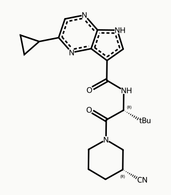 CC(C)(C)[C@@H](NC(=O)c1c[nH]c2ncc(C3CC3)nc12)C(=O)N1CCC[C@@H](C#N)C1